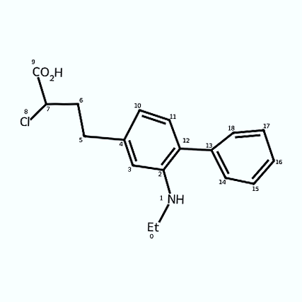 CCNc1cc(CCC(Cl)C(=O)O)ccc1-c1ccccc1